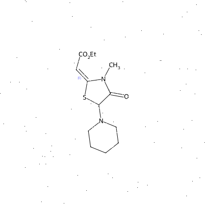 CCOC(=O)/C=C1/SC(N2CCCCC2)C(=O)N1C